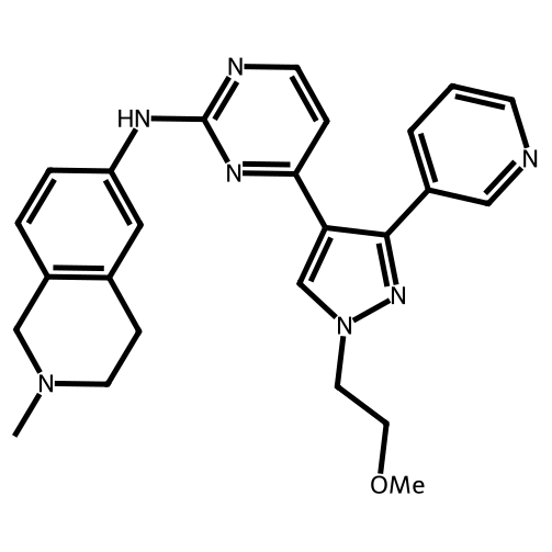 COCCn1cc(-c2ccnc(Nc3ccc4c(c3)CCN(C)C4)n2)c(-c2cccnc2)n1